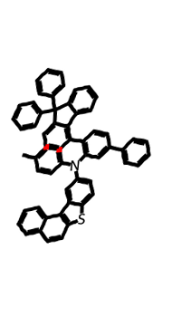 Cc1ccc(N(c2ccc3sc4ccc5ccccc5c4c3c2)c2cc(-c3ccccc3)ccc2-c2cccc3c2-c2ccccc2C3(c2ccccc2)c2ccccc2)cc1